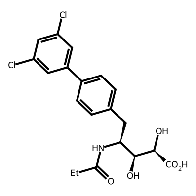 CCC(=O)N[C@@H](Cc1ccc(-c2cc(Cl)cc(Cl)c2)cc1)[C@H](O)[C@@H](O)C(=O)O